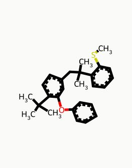 CSc1ccccc1C(C)(C)Cc1ccc(C(C)(C)C)c(Oc2ccccc2)c1